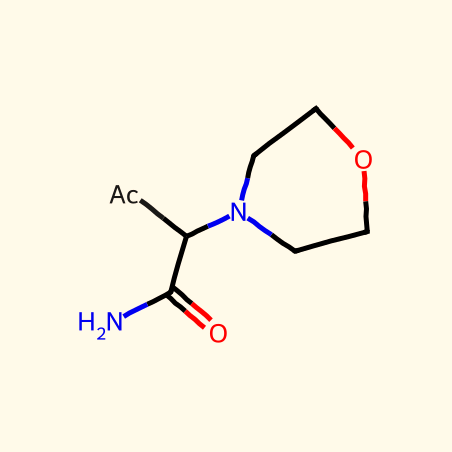 CC(=O)C(C(N)=O)N1CCOCC1